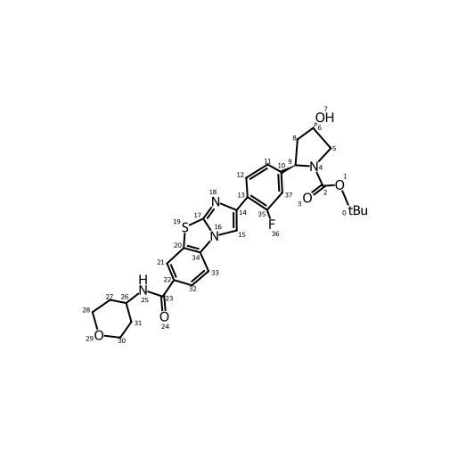 CC(C)(C)OC(=O)N1C[C@@H](O)C[C@@H]1c1ccc(-c2cn3c(n2)sc2cc(C(=O)NC4CCOCC4)ccc23)c(F)c1